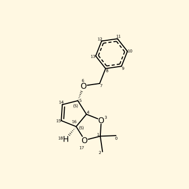 CC1(C)OC2[C@@H](OCc3ccccc3)C=C[C@@H]2O1